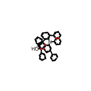 OC(c1ccccc1)(c1ccccc1)c1cc(-c2ccccc2)cc(N(c2ccccc2)c2c(-c3ccccc3)cccc2-c2ccccc2)c1